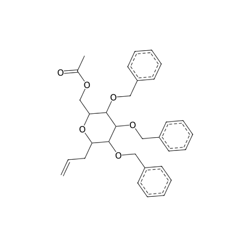 C=CCC1OC(COC(C)=O)C(OCc2ccccc2)C(OCc2ccccc2)C1OCc1ccccc1